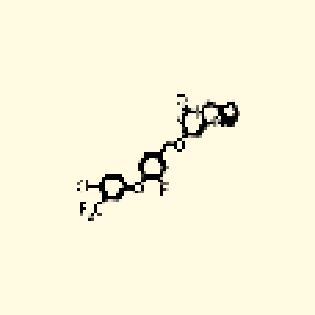 O=c1nc(OCc2ccc(Oc3ccc(Cl)c(C(F)(F)F)c3)c(F)c2)cc2n1CC13CC(CN21)C3